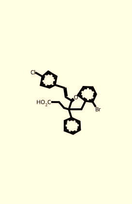 O=C(O)CCC(Cc1ccccc1Br)(C(=O)C=Cc1ccc(Cl)cc1)c1ccccc1